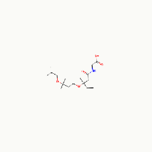 CCC(C)(CC(=O)NCC(=O)O)OCCC(C)(C)OCC(C)C